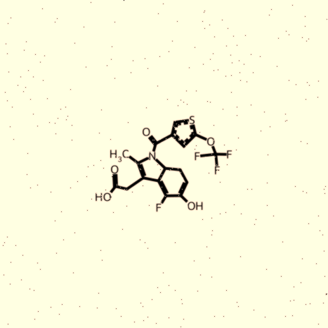 CC1=C(CC(=O)O)C2=C(F)C(O)=CCC2N1C(=O)c1csc(OC(F)(F)F)c1